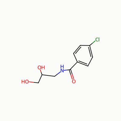 O=C(NCC(O)CO)c1ccc(Cl)cc1